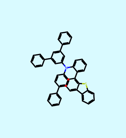 c1ccc(-c2ccc(N(c3cc(-c4ccccc4)cc(-c4ccccc4)c3)c3ccccc3-c3cccc4c3sc3ccccc34)cc2)cc1